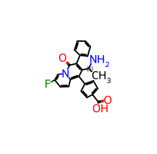 C[C@H](N)c1c(-c2ccccc2)c(=O)n2cc(F)ccc2c1-c1ccc(C(=O)O)cc1